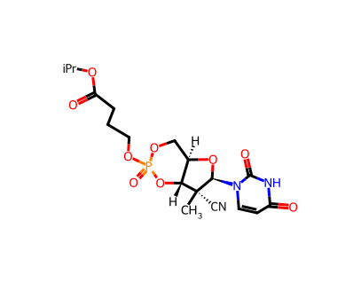 CC(C)OC(=O)CCCOP1(=O)OC[C@H]2O[C@@H](n3ccc(=O)[nH]c3=O)[C@](C)(C#N)[C@@H]2O1